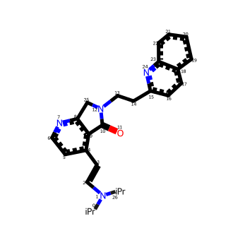 CC(C)N(C=Cc1ccnc2c1C(=O)N(CCc1ccc3ccccc3n1)C2)C(C)C